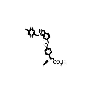 CC#C[C@@H](CC(=O)O)c1ccc(OCc2ccc3cnn(Cc4cnc(C)cn4)c3c2)cc1